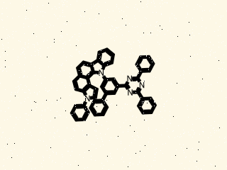 c1ccc(-c2cc(-c3nc(-c4ccccc4)nc(-c4ccccc4)n3)cc(-n3c4ccccc4c4ccc5ccc6c(ccn6-c6ccccc6)c5c43)c2)cc1